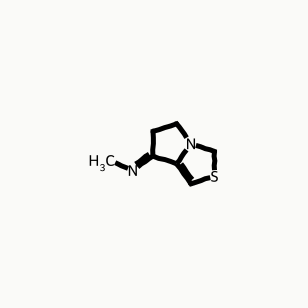 CN=C1CCN2CSC=C12